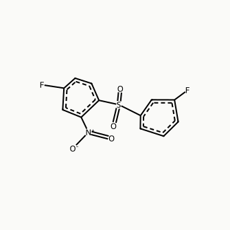 O=[N+]([O-])c1cc(F)ccc1S(=O)(=O)c1cccc(F)c1